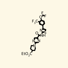 CCOC(=O)C1CCN(c2cnc(C(=O)Nc3nc(-c4ccc(OC(F)F)c(C(F)(F)F)c4)cs3)cn2)CC1